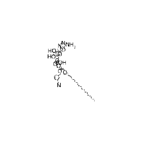 CCCCCCCCCCCCCCCCCCOC[C@H](COP(=O)(O)OCC1O[C@@](C)(c2ccc3c(N)ncnn23)[C@H](O)[C@@H]1O)OCc1cccc(C#N)c1